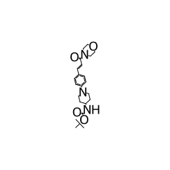 CC(C)(C)OC(=O)NC1CCN(c2ccc(C=CC(=O)N3CCOCC3)cc2)CC1